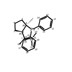 C[C@@H]([C@H]1CCC[C@@]1(C)P(c1ccccc1)c1ccccc1)N(C)C